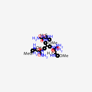 COc1ccc2[nH]c(C)c(CC(=O)[C@](N)(CC(N)=O)C(=O)Nc3ccc(C(c4ccc(NC(=O)[C@@](N)(CC(N)=O)C(=O)Cc5c(C)[nH]c6ccc(OC)cc56)cc4)c4ccc(NC(=O)[C@@](N)(CC(N)=O)C(=O)Cc5c(C)[nH]c6ccc(OC)cc56)cc4)cc3)c2c1